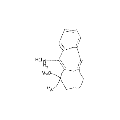 COC1(C)CCCc2nc3ccccc3c(N)c21.Cl